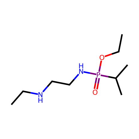 CCNCCNP(=O)(OCC)C(C)C